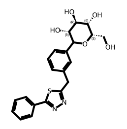 OC[C@@H]1OC(c2cccc(Cc3nnc(-c4ccccc4)s3)c2)[C@H](O)[C@@H](O)[C@@H]1O